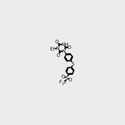 CCn1c(=O)[nH]c(=O)n(-c2ccc(Sc3ccc(S(=O)(=O)C(F)(F)F)cc3)cc2)c1=O